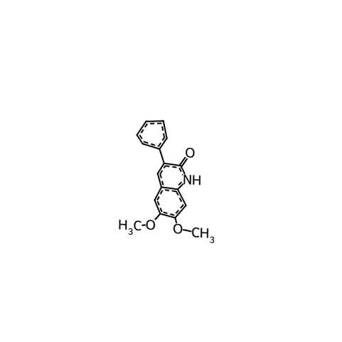 COc1cc2cc(-c3ccccc3)c(=O)[nH]c2cc1OC